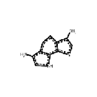 Nc1c[nH]c2c1ccc1c(N)csc12